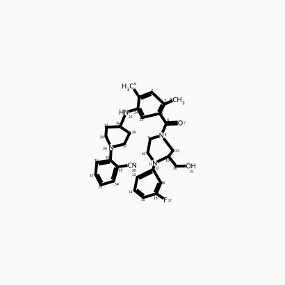 Cc1cc(C)c(C(=O)N2CCN(c3cccc(F)c3)C(CO)C2)cc1NC1CCN(c2ccccc2C#N)CC1